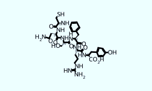 N=C(N)NCCC[C@H](NC(=O)[C@H](Cc1ccccc1)NC(=O)[C@H](CO)NC(=O)[C@H](CC(N)=O)NC(=O)[C@@H](N)CS)C(=O)N[C@@H](Cc1ccc(O)cc1)C(=O)O